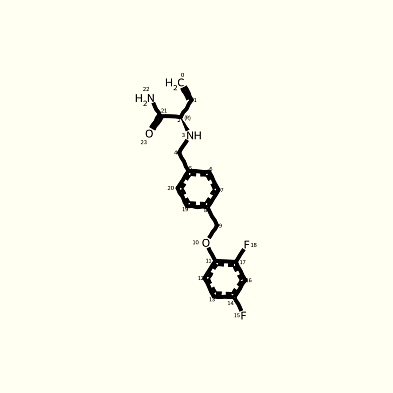 C=C[C@@H](NCc1ccc(COc2ccc(F)cc2F)cc1)C(N)=O